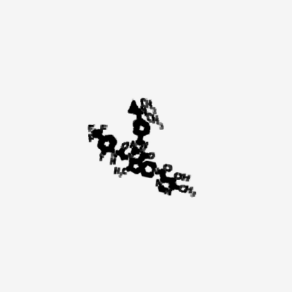 Cc1ncnc(C(=O)N2CCC3(CC2)CC(C)c2c3c(=O)n3nc(-c4ccc(C5(N(C)C)CC5)cc4)nc3n2CC(=O)Nc2ccc(C(F)(F)F)cc2F)c1O